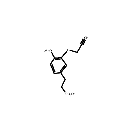 C#CCOc1cc(CCC(=O)OCC)ccc1OC